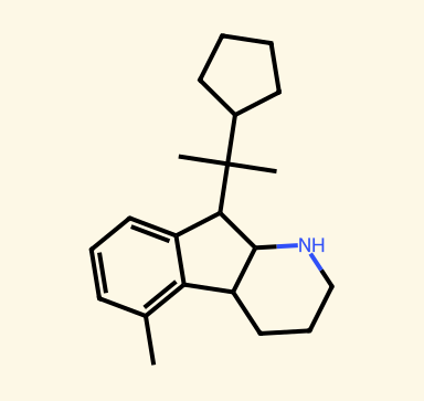 Cc1cccc2c1C1CCCNC1C2C(C)(C)C1CCCC1